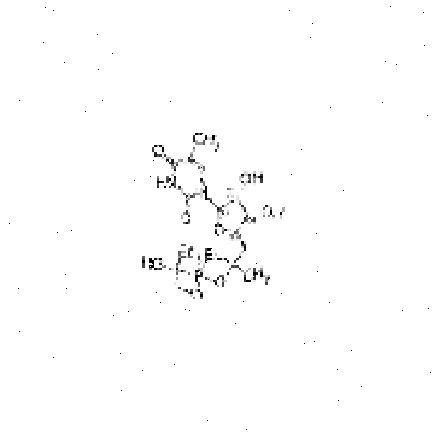 CCC(C)(C[C@H]1O[C@@H](n2cc(C)c(=O)[nH]c2=O)[C@H](O)[C@@H]1O)OP1(=O)OCC1(O)CC